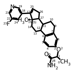 CC(Oc1ccc2c(c1)CCC1C2CC[C@]2(C)C(c3cncc(F)c3)=CCC12)C(N)=O